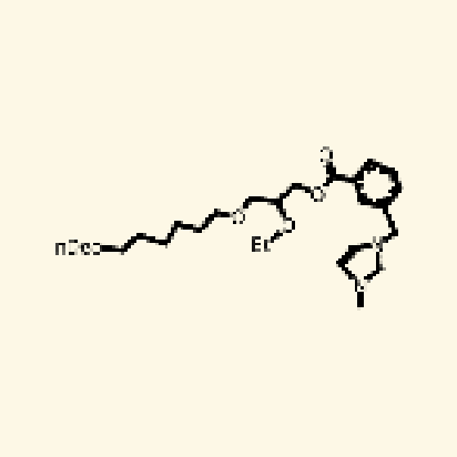 CCCCCCCCCCCCCCCCOCC(COC(=O)c1cccc(CN2[CH]N(C)C=C2)c1)OCC